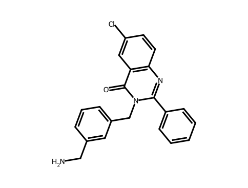 NCc1cccc(Cn2c(-c3ccccc3)nc3ccc(Cl)cc3c2=O)c1